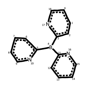 c1ccc(B(c2ccccn2)c2ccccn2)nc1